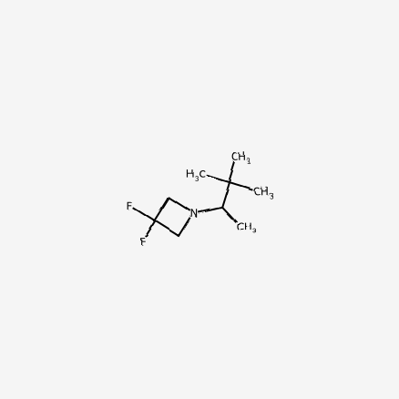 CC(N1CC(F)(F)C1)C(C)(C)C